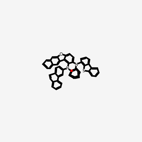 c1ccc(N(c2ccc3oc4cc5ccccc5cc4c3c2N(c2ccccc2)c2ccc3ccc4ccccc4c3c2)c2cccc3c2sc2ccccc23)cc1